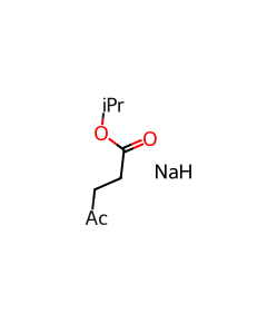 CC(=O)CCC(=O)OC(C)C.[NaH]